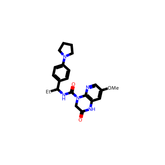 CCC(NC(=O)N1CC(=O)Nc2cc(OC)cnc21)c1ccc(N2CCCC2)cc1